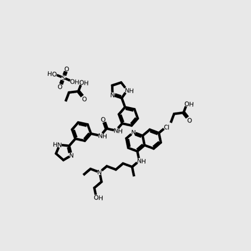 CCC(=O)O.CCC(=O)O.CCN(CCO)CCCC(C)Nc1ccnc2cc(Cl)ccc12.O=C(Nc1cccc(C2=NCCN2)c1)Nc1cccc(C2=NCCN2)c1.O=S(=O)(O)O